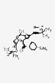 CC(C)(C)C#Cc1cc(N(C(=O)[C@H]2CC[C@@H](C)CC2)[C@H]2CC[C@@H]2OP(C)(C)=O)c(C(=O)O)s1